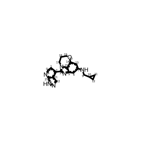 c1cc(-c2nc3cc(NCC4CC4)cc4c3n2CCCO4)c2cn[nH]c2n1